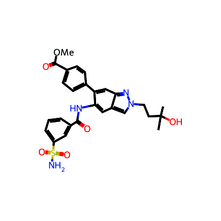 COC(=O)c1ccc(-c2cc3nn(CCC(C)(C)O)cc3cc2NC(=O)c2cccc(S(N)(=O)=O)c2)cc1